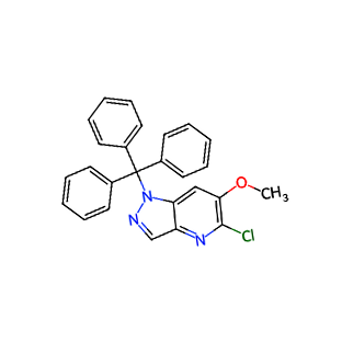 COc1cc2c(cnn2C(c2ccccc2)(c2ccccc2)c2ccccc2)nc1Cl